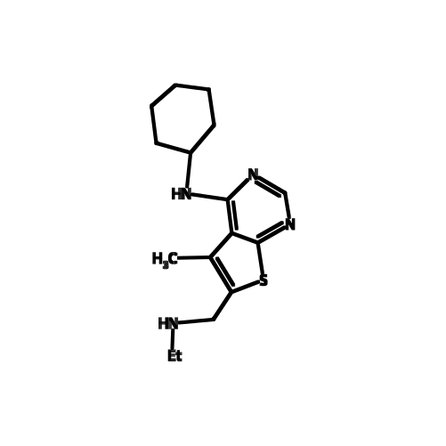 CCNCc1sc2ncnc(NC3CCCCC3)c2c1C